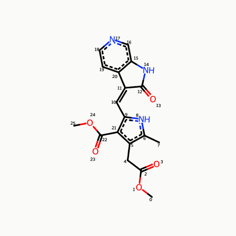 COC(=O)Cc1c(C)[nH]c(C=C2C(=O)Nc3cnccc32)c1C(=O)OC